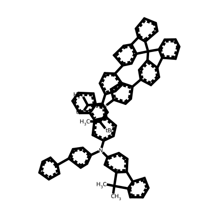 CC(CC(c1ccc(-c2ccc3c(c2)C2(c4ccccc4-3)c3ccccc3-c3ccc(-c4ccc(-n5c6ccccc6c6cc(N(c7ccc(-c8ccccc8)cc7)c7ccc8c(c7)C(C)(C)c7ccccc7-8)ccc65)cc4)cc32)cc1)C(C)C(C)(C)C)C(C)(C)C